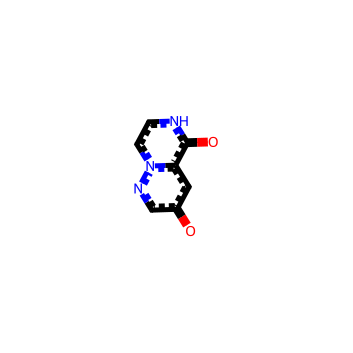 O=c1cnn2cc[nH]c(=O)c2c1